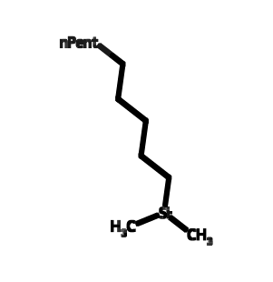 CCCCCCCCCC[Si](C)C